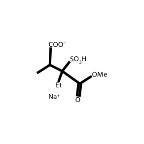 CCC(C(=O)OC)(C(C)C(=O)[O-])S(=O)(=O)O.[Na+]